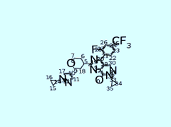 O=c1c2nc([C@@H]3CCO[C@@H](c4cnn(C5CC5)c4)C3)nc(-c3ccc(C(F)(F)F)cc3F)c2cnn1C1CC1